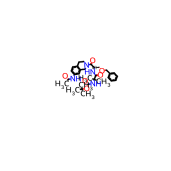 CC(=O)Nc1ccc2c(c1)CN(C(=O)[C@@H](COCc1ccccc1)NC(=O)C(C)(C)NC(=O)OC(C)(C)C)CC2